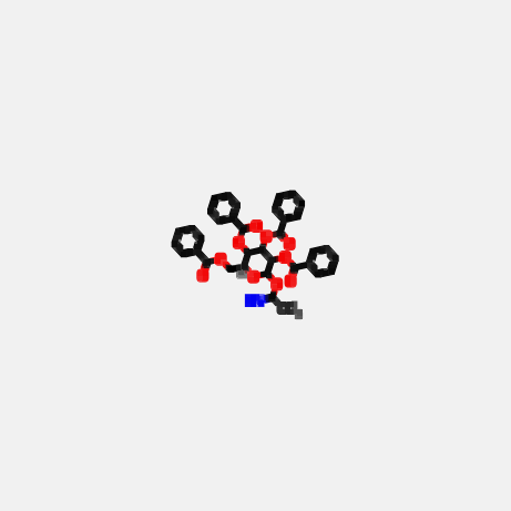 N=C(OC1O[C@@H](COC(=O)c2ccccc2)C(OC(=O)c2ccccc2)C(OC(=O)c2ccccc2)C1OC(=O)c1ccccc1)C(Cl)(Cl)Cl